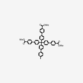 COC(=O)c1ccc(-c2ccc(C(c3ccc(-c4ccc(C)cc4)cc3)(c3ccc(-c4ccc(C(=O)OC)cc4)cc3)c3ccc(-c4ccc(C(=O)OC)cc4)cc3)cc2)cc1